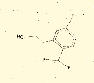 OCCc1cc(F)ccc1C(F)F